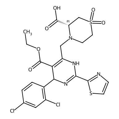 CCOC(=O)C1=C(CN2CCS(=O)(=O)C[C@H]2C(=O)O)NC(c2nccs2)=NC1c1ccc(Cl)cc1Cl